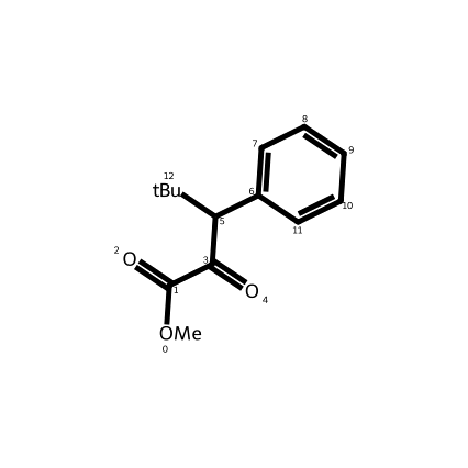 COC(=O)C(=O)C(c1ccccc1)C(C)(C)C